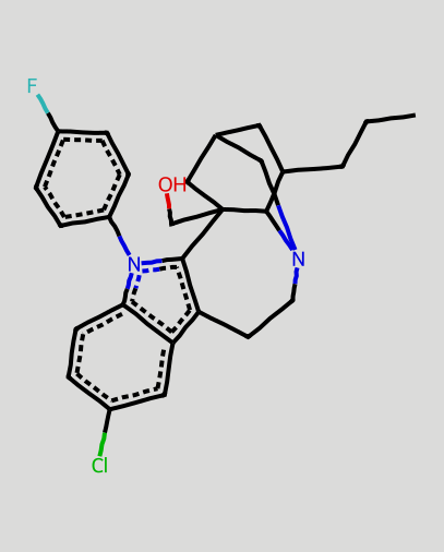 CCCC1CC2CN3CCc4c(n(-c5ccc(F)cc5)c5ccc(Cl)cc45)C(CO)(C2)C13